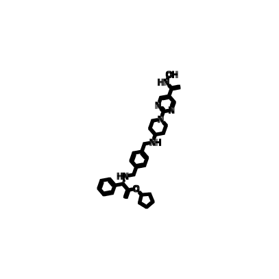 C=C(NO)c1cnc(N2CCC(NCc3ccc(CN[C@H](C(=C)OC4CCCC4)c4ccccc4)cc3)CC2)nc1